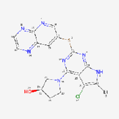 CCc1[nH]c2nc(Sc3cnc4nccnc4c3)nc(N3CC[C@@H](O)C3)c2c1Cl